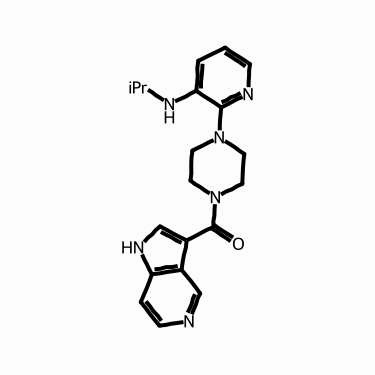 CC(C)Nc1cccnc1N1CCN(C(=O)c2c[nH]c3ccncc23)CC1